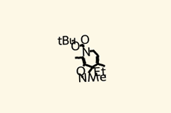 CCC1(C)C(C)=CCN(C(=O)OC(C)(C)C)C(C)=C1ONC